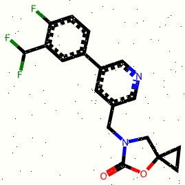 O=C1OC2(CC2)CN1Cc1cncc(-c2ccc(F)c(C(F)F)c2)c1